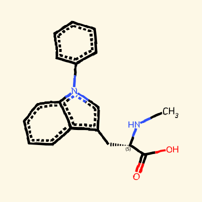 CN[C@@H](Cc1cn(-c2ccccc2)c2ccccc12)C(=O)O